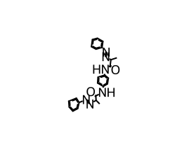 CC(/N=N/c1ccccc1)C(=O)Nc1ccc(NC(=O)C(C)/N=N/c2ccccc2)cc1